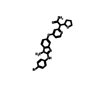 Cn1c(Nc2ccc(Br)cc2)nc2cc(Oc3ccnc(C(C(N)=O)C4CCCO4)c3)ccc21